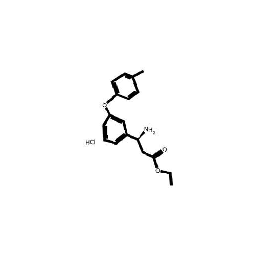 CCOC(=O)C[C@H](N)c1cccc(Oc2ccc(C)cc2)c1.Cl